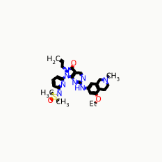 C=CCn1c(=O)c2cnc(Nc3cc4c(c(OCC)c3)CCN(C)C4)nc2n1-c1cccc(N=S(C)(C)=O)n1